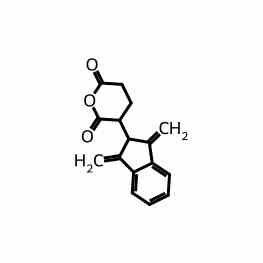 C=C1c2ccccc2C(=C)C1C1CCC(=O)OC1=O